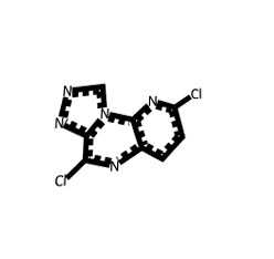 Clc1ccc2nc(Cl)c3nncn3c2n1